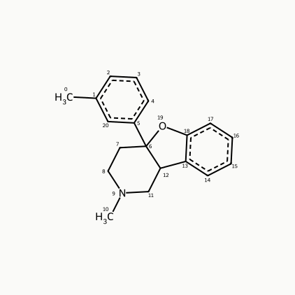 Cc1cccc(C23CCN(C)CC2c2ccccc2O3)c1